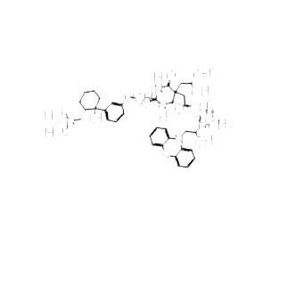 C=CCC1(CC(C)C)C(=O)NC(=O)NC1=O.CC(CN1c2ccccc2Sc2ccccc21)N(C)C.COc1cccc([C@@]2(O)CCCC[C@@H]2CN(C)C)c1